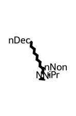 CCCCCCCCCCCCCCCCCCC(CCCCCCCCC)c1nccn1C(C)C